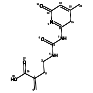 C=C(CCNC(=O)NC1=NC(=O)C=C(C)C1)C(=O)O